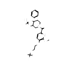 [2H]C1([2H])OC2CN(C(=O)c3ccc(OCCOC(F)(F)F)c(OC)n3)CC[C@]2(c2ccccc2)O1